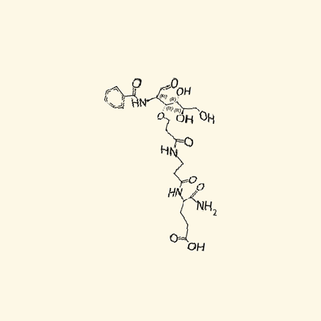 NC(=O)C(CCC(=O)O)NC(=O)CCNC(=O)CCO[C@@H]([C@H](O)[C@H](O)CO)[C@H](C=O)NC(=O)c1ccccc1